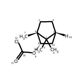 CC1(C)[C@@H]2CC[C@@]1(C)[C@@H](OC(=O)Cl)C2